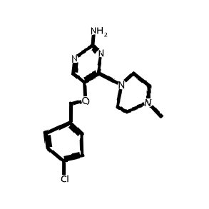 CN1CCN(c2nc(N)ncc2OCc2ccc(Cl)cc2)CC1